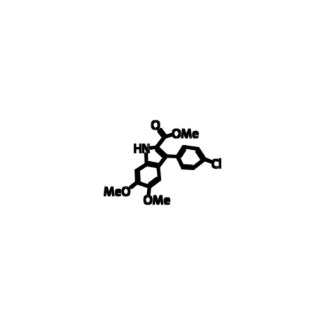 COC(=O)c1[nH]c2cc(OC)c(OC)cc2c1-c1ccc(Cl)cc1